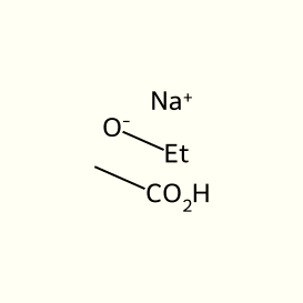 CC(=O)O.CC[O-].[Na+]